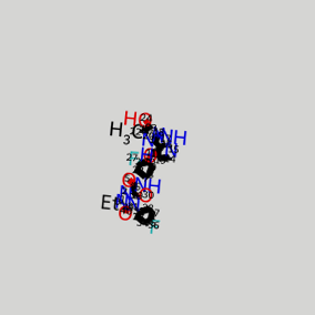 CCn1nc(C(=O)Nc2ccc(Oc3ccnc4[nH]nc(N[C@H](C)CO)c34)c(F)c2)c(=O)n(-c2ccc(F)cc2)c1=O